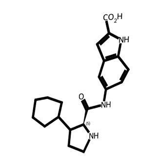 O=C(O)c1cc2cc(NC(=O)[C@H]3NCCC3C3CCCCC3)ccc2[nH]1